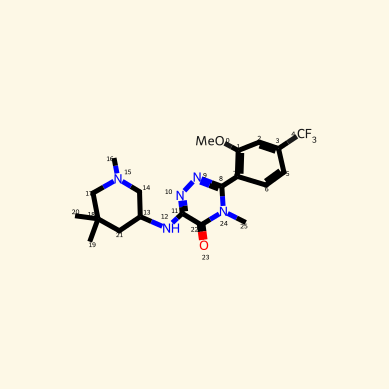 COc1cc(C(F)(F)F)ccc1-c1nnc(NC2CN(C)CC(C)(C)C2)c(=O)n1C